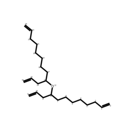 C=CCCCCCCC(CC=C)OC(CC=C)CCCCCCC=C